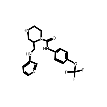 O=C(Nc1ccc(OC(F)(F)F)cc1)N1CCNCC1CNc1cccnc1